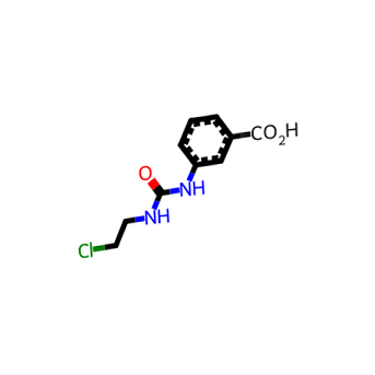 O=C(NCCCl)Nc1cccc(C(=O)O)c1